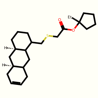 CCC1(OC(=O)CSCC2CCC[C@@H]3C[C@@H]4CC=CCC4CC23)CCCC1